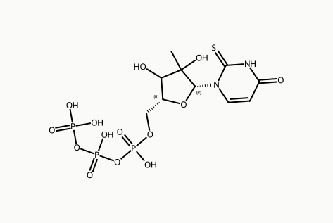 CC1(O)C(O)[C@@H](COP(=O)(O)OP(=O)(O)OP(=O)(O)O)O[C@H]1n1ccc(=O)[nH]c1=S